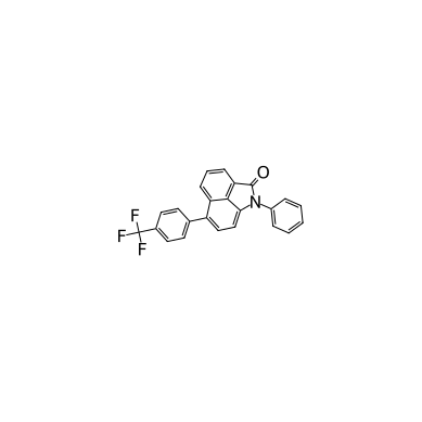 O=C1c2cccc3c(-c4ccc(C(F)(F)F)cc4)ccc(c23)N1c1ccccc1